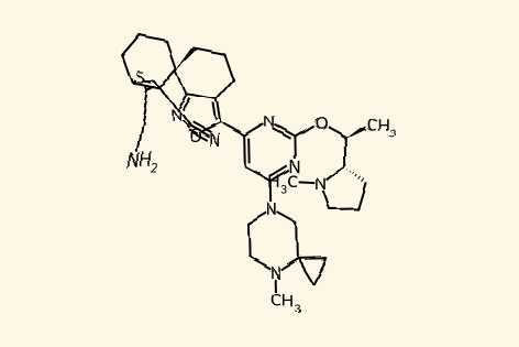 C[C@H](Oc1nc(-c2onc3c2CCC[C@@]32CCCc3sc(N)c(C#N)c32)cc(N2CCN(C)C3(CC3)C2)n1)[C@@H]1CCCN1C